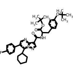 CC(C)(C)OC(=O)C(Cc1ccc(OC(C)(C)C)cc1)NC(=O)c1cnn2c(C3CCCCC3)c(-c3ccc(F)cc3)cnc12